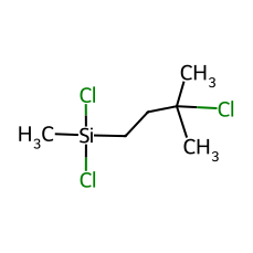 CC(C)(Cl)CC[Si](C)(Cl)Cl